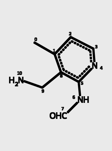 Cc1ccnc(NC=O)c1CN